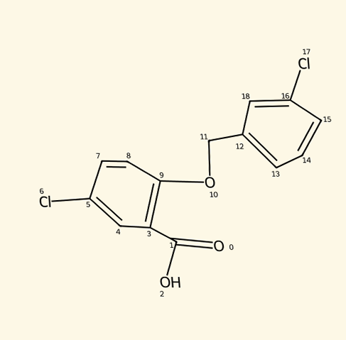 O=C(O)c1cc(Cl)ccc1OCc1cccc(Cl)c1